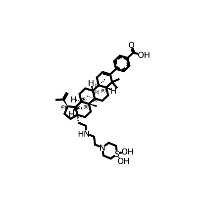 C=C(C)[C@@H]1CC[C@]2(CCNCCN3CCS(O)(O)CC3)CC[C@]3(C)[C@H](CC[C@@H]4[C@@]5(C)CC=C(c6ccc(C(=O)O)cc6)C(C)(C)[C@@H]5CC[C@]43C)[C@@H]12